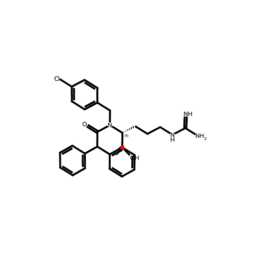 N=C(N)NCCC[C@H](C(=O)O)N(Cc1ccc(Cl)cc1)C(=O)C(c1ccccc1)c1ccccc1